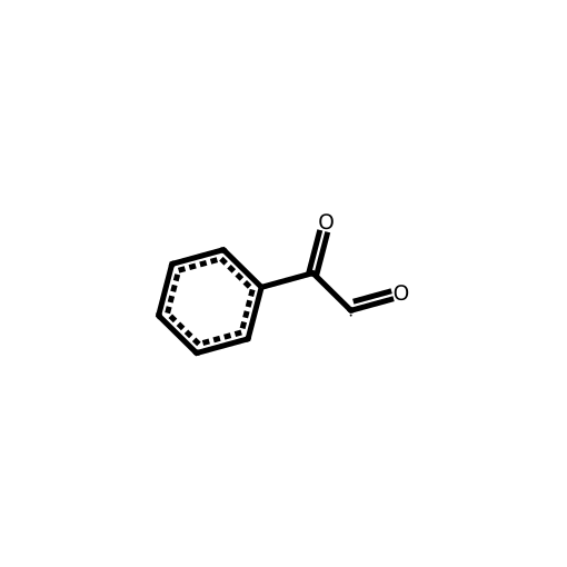 O=[C]C(=O)c1ccccc1